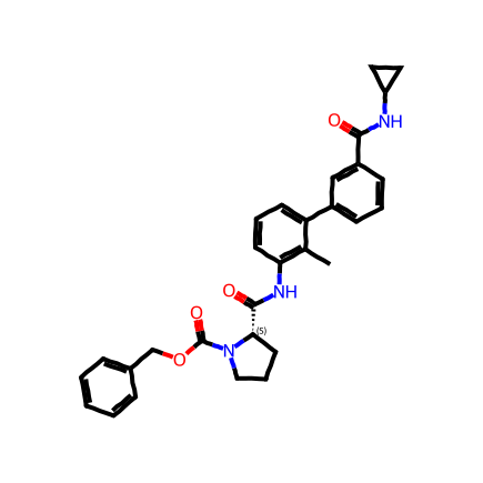 Cc1c(NC(=O)[C@@H]2CCCN2C(=O)OCc2ccccc2)cccc1-c1cccc(C(=O)NC2CC2)c1